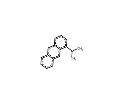 CN(C)c1cccc2cc3[c]cccc3cc12